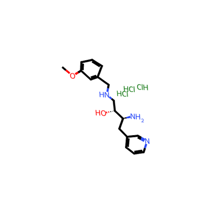 COc1cccc(CNC[C@@H](O)[C@@H](N)Cc2cccnc2)c1.Cl.Cl.Cl